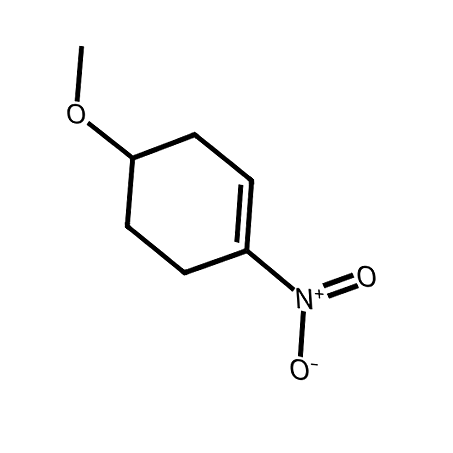 COC1CC=C([N+](=O)[O-])CC1